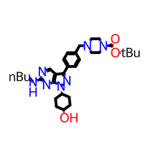 CCCCNc1ncc2c(-c3ccc(CN4CCN(C(=O)OC(C)(C)C)CC4)cc3)nn([C@H]3CC[C@H](O)CC3)c2n1